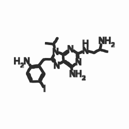 CC(N)CNc1nc(N)c2nc(Cc3cc(I)ccc3N)n(C(C)C)c2n1